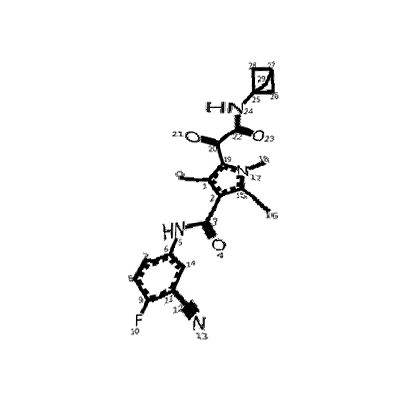 Cc1c(C(=O)Nc2ccc(F)c(C#N)c2)c(C)n(C)c1C(=O)C(=O)NC12CC(C1)C2